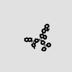 Cc1ccc2c(c1)c1cc(N(c3ccc(N(c4ccccc4)c4ccccc4)cc3)c3ccc(-c4ccc5c(c4)C(C)(C)c4ccccc4-5)c4ccccc34)ccc1n2-c1ccc2ccccc2c1